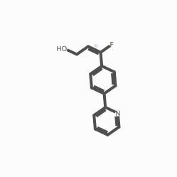 OC/C=C(/F)c1ccc(-c2ccccn2)cc1